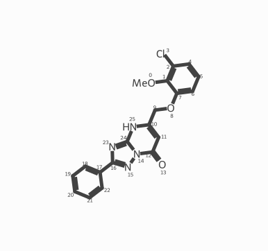 COc1c(Cl)cccc1OCc1cc(=O)n2nc(-c3ccccc3)nc2[nH]1